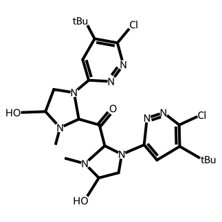 CN1C(O)CN(c2cc(C(C)(C)C)c(Cl)nn2)C1C(=O)C1N(c2cc(C(C)(C)C)c(Cl)nn2)CC(O)N1C